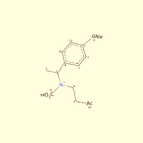 COc1ccc(C(C)N(CCC(C)=O)C(=O)O)cc1